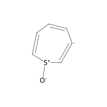 [O-][S+]1C=[C]C=CC=C1